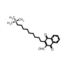 C[Si](C)(C)CCCCCCCCCC1=C(C=O)C(=O)c2ccccc2C1=O